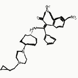 CC(=O)N1C(=O)/C(=C(\N[C@H]2CC[C@H](N3CCN(CC4CC4)CC3)CC2)c2ccccc2)c2ccc([N+](=O)[O-])cc21